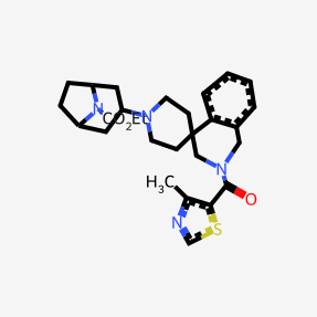 CCOC(=O)N1C2CCC1CC(N1CCC3(CC1)CN(C(=O)c1scnc1C)Cc1ccccc13)C2